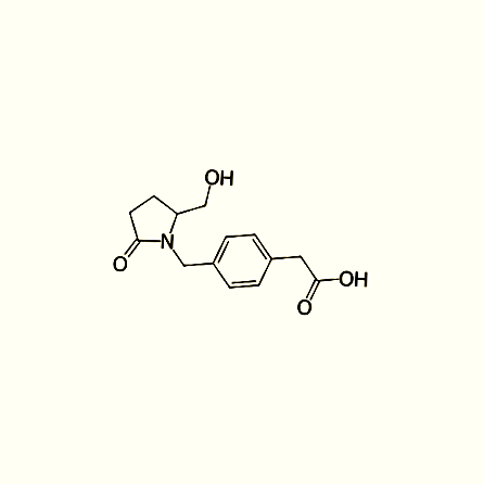 O=C(O)Cc1ccc(CN2C(=O)CCC2CO)cc1